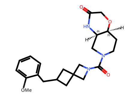 COc1ccccc1CC1CC2(C1)CN(C(=O)N1CC[C@@H]3OCC(=O)N[C@@H]3C1)C2